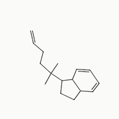 C=CCCC(C)(C)C1CCC2C=CC=CC21